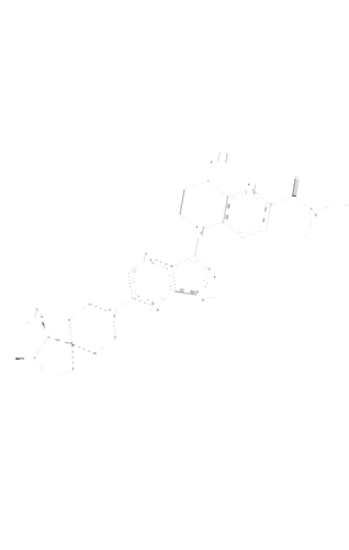 C[C@@H]1OCC2(CCN(c3cnc4c(N5CC[C@H](C)c6nc(C(=O)N(C)C)ccc65)n[nH]c4n3)CC2)[C@@H]1N